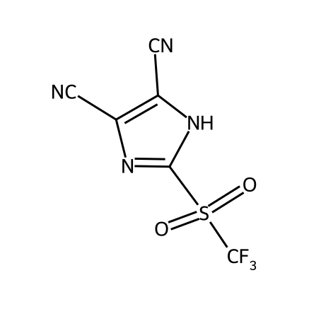 N#Cc1nc(S(=O)(=O)C(F)(F)F)[nH]c1C#N